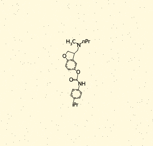 CCCN(C)CC1COc2ccc(OC(=O)Nc3ccc(C(C)C)cc3)cc21